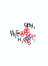 CCC(C)COC(=O)Oc1ccc(C(CC(C)OC(=O)Oc2ccccc2)[C@H](N)C(=O)O)cc1OC(=O)OCC(C)CC